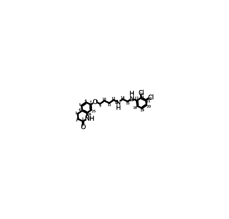 O=C1CCc2ccc(OCCCCNCCNc3cccc(Cl)c3Cl)cc2N1